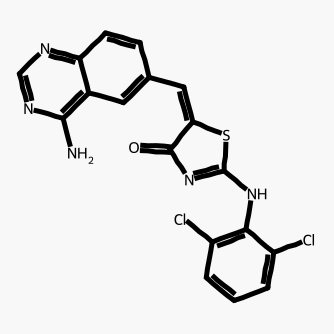 Nc1ncnc2ccc(C=C3SC(Nc4c(Cl)cccc4Cl)=NC3=O)cc12